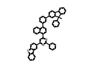 CC1(c2ccccc2)c2ccccc2-c2ccc(-c3cccc(-c4ccc(-c5cc(-c6ccc7sc8ccccc8c7c6)nc(-c6ccccc6)n5)c5ccccc45)c3)cc21